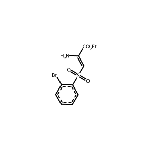 CCOC(=O)C(N)=CS(=O)(=O)c1ccccc1Br